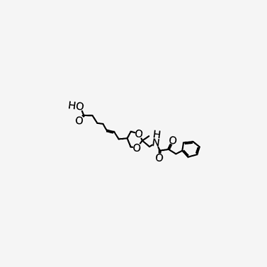 CC1(CNC(=O)C(=O)Cc2ccccc2)OCC(CC=CCCCC(=O)O)CO1